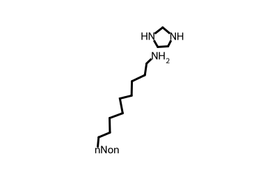 C1CNCN1.CCCCCCCCCCCCCCCCCCN